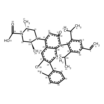 C=Cc1nc(C(C)C)c(-n2c(=O)nc(N3C[C@@H](C)N(C(=O)O)C[C@@H]3C)c3cc(Cl)c(-c4ccccc4F)nc32)c(C(C)C)n1